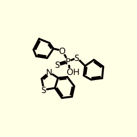 OP(=S)(Oc1ccccc1)Sc1ccccc1.c1ccc2scnc2c1